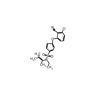 CCN(C(C)=C(C)C)S(=O)(=O)c1ccc(Oc2cccc(Cl)c2C#N)cc1